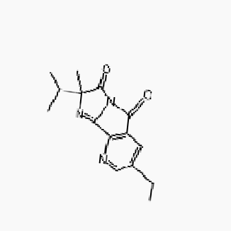 CCc1cnc2c(c1)C(=O)N1C(=O)C(C)(C(C)C)N=C21